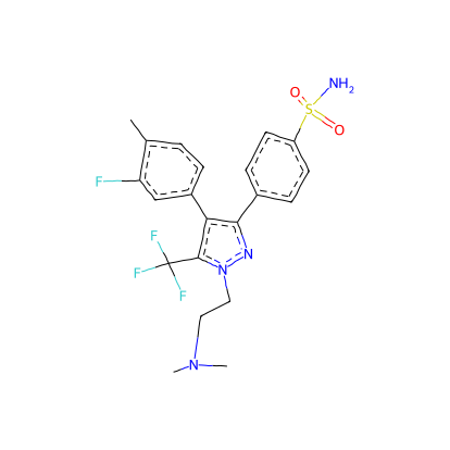 Cc1ccc(-c2c(-c3ccc(S(N)(=O)=O)cc3)nn(CCN(C)C)c2C(F)(F)F)cc1F